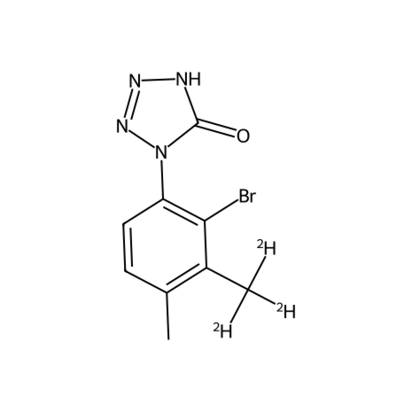 [2H]C([2H])([2H])c1c(C)ccc(-n2nn[nH]c2=O)c1Br